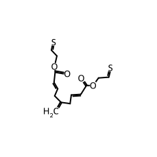 C=C(CC=CC(=O)OCC=S)CC=CC(=O)OCC=S